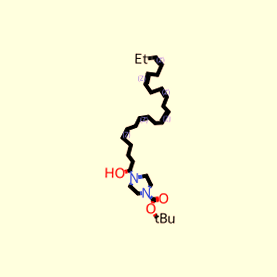 CC/C=C\C/C=C\C/C=C\C/C=C\C/C=C\C/C=C\CCCC(O)N1CCN(C(=O)OC(C)(C)C)CC1